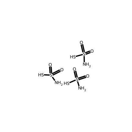 NS(=O)(=O)S.NS(=O)(=O)S.NS(=O)(=O)S